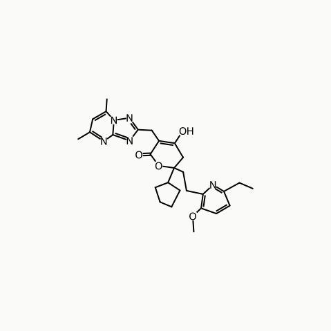 CCc1ccc(OC)c(CCC2(C3CCCC3)CC(O)=C(Cc3nc4nc(C)cc(C)n4n3)C(=O)O2)n1